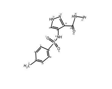 Cc1ccc(S(=O)(=O)Nc2c[nH]nc2C(=O)NC(C)C)cc1